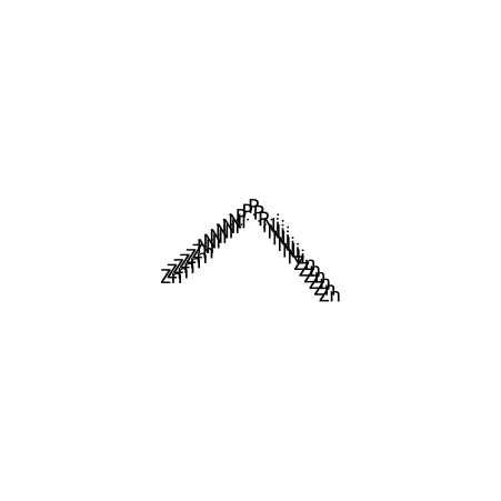 [Ni].[Ni].[Ni].[Ni].[Ni].[Ni].[Ni].[Ni].[Ni].[Ni].[Ni].[Ni].[P].[P].[P].[P].[P].[Zn].[Zn].[Zn].[Zn].[Zn].[Zn].[Zn].[Zn].[Zn].[Zn].[Zn].[Zn]